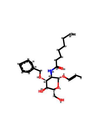 CC=CO[C@@H]1O[C@H](CO)[C@@H](O)[C@H](OCc2ccccc2)[C@H]1NC(=O)CCCCCCCCCCCCCCC